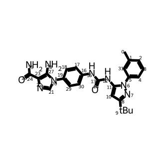 Cc1cccc(-n2nc(C(C)(C)C)cc2NC(=O)Nc2ccc(-n3cnc(C(N)=O)c3N)cc2)c1